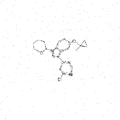 CC1(Oc2ccc3c(c2)c(-c2cc(Cl)ncn2)nn3C2CCCCO2)CC1